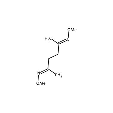 CO/N=C(\C)CC/C(C)=N/OC